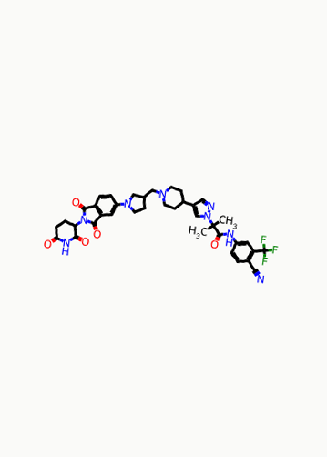 CC(C)(C(=O)Nc1ccc(C#N)c(C(F)(F)F)c1)n1cc(C2CCN(CC3CCN(c4ccc5c(c4)C(=O)N(C4CCC(=O)NC4=O)C5=O)C3)CC2)cn1